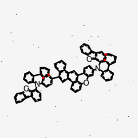 c1ccc(-c2ccccc2N(c2ccc(-c3cc4c5cccc6c5c(cc4c4ccccc34)-c3ccc(N(c4ccccc4-c4ccccc4)c4cccc5c4oc4ccccc45)cc3O6)cc2)c2cccc3c2oc2ccccc23)cc1